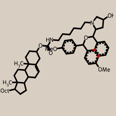 CCCCCCCCC1CCC2C3CC=C4CC(OC(=O)NCCCCCCN5CC(O)CC5C(OC(c5ccc(OC)cc5)c5ccc(OC)cc5)c5ccccc5)CCC4(C)C3CCC12C